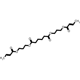 CC=CC(=O)OCCCOC(=O)CCCCC(=O)OCCCOC(=O)C=CC